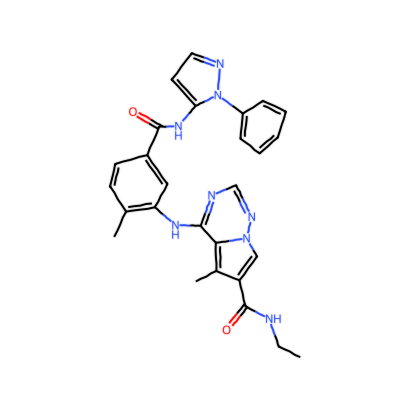 CCNC(=O)c1cn2ncnc(Nc3cc(C(=O)Nc4ccnn4-c4ccccc4)ccc3C)c2c1C